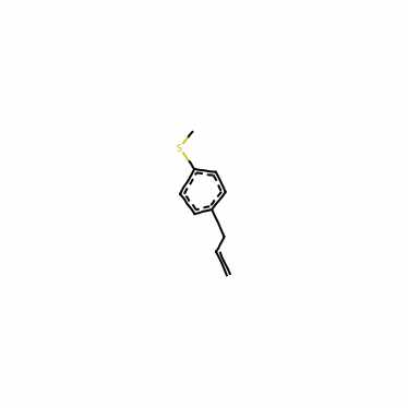 C=CCc1ccc(SC)cc1